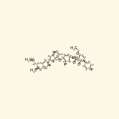 CCOc1ccn(-c2ccc(F)cc2)c(=O)c1C(=O)Nc1ccc(Oc2ccnc3cc(-c4ccc(CN(C)CCOC)cn4)sc23)c(F)c1